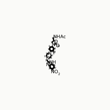 CC(=O)NCC1CN(c2ccc(N3CCN(Cc4nc5cc([N+](=O)[O-])ccc5[nH]4)CC3)c(F)c2)C(=O)O1